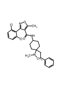 Cc1onc(-c2c(Cl)cccc2Cl)c1C(=O)NC1CCC(CCc2ccccc2)(N(C)C)CC1